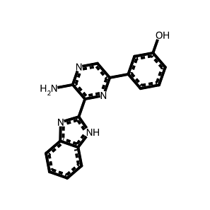 Nc1ncc(-c2cccc(O)c2)nc1-c1nc2ccccc2[nH]1